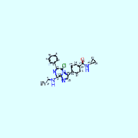 CC(C)CNc1nc(-c2ccccc2)c(Cl)n2c(-c3ccc(C(=O)NC4CC4)cc3)cnc12